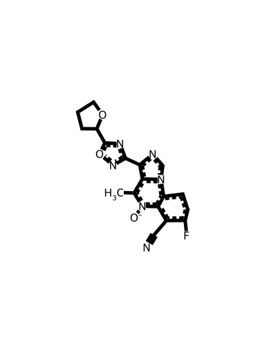 Cc1c2c(-c3noc(C4CCCO4)n3)ncn2c2ccc(F)c(C#N)c2[n+]1[O-]